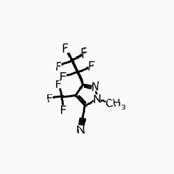 Cn1nc(C(F)(F)C(F)(F)F)c(C(F)(F)F)c1C#N